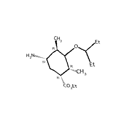 CCOC(=O)[C@@H]1C[C@H](N)[C@@H](C)C(OC(CC)CC)[C@@H]1C